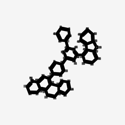 c1ccc(-c2nc(-c3ccc(-c4cc5ncccc5c5ccc6ccccc6c45)cc3)nc(-c3cccc4oc5ccccc5c34)n2)cc1